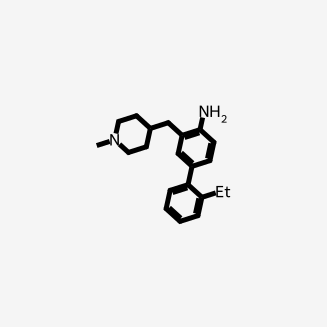 CCc1ccccc1-c1ccc(N)c(CC2CCN(C)CC2)c1